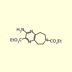 CCOC(=O)c1nc2c(nc1N)CCN(C(=O)OCC)CC2